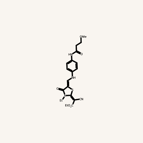 CCOC(=O)C(C#N)=c1sc(=CNc2ccc(NC(=O)CCOC)cc2)c(=O)n1CC